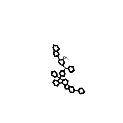 CC1C=C(N(c2ccccc2)c2ccc(C3(c4ccccc4)c4ccccc4-c4c3ccc3c4sc4ccc(-c5ccccc5)cc43)cc2)C=CC1c1ccc2ccccc2c1